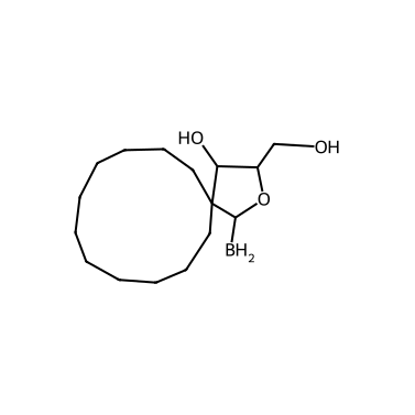 BC1OC(CO)C(O)C12CCCCCCCCCCC2